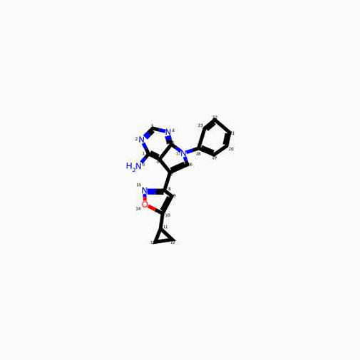 Nc1ncnc2c1c(-c1cc(C3CC3)on1)cn2-c1ccccc1